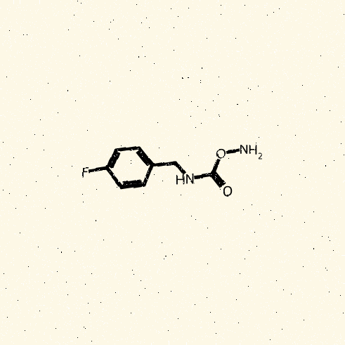 NOC(=O)NCc1ccc(F)cc1